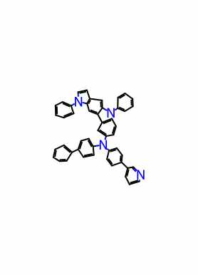 c1ccc(-c2ccc(N(c3ccc(-c4cccnc4)cc3)c3ccc4c(c3)c3cc5c(ccn5-c5ccccc5)cc3n4-c3ccccc3)cc2)cc1